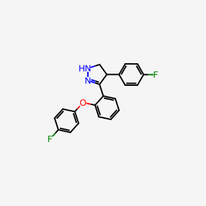 Fc1ccc(Oc2ccccc2C2=NNCC2c2ccc(F)cc2)cc1